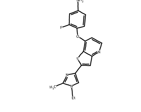 CCn1cc(-c2cc3nccc(Oc4ccc(N)cc4F)c3s2)nc1C